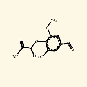 COc1cc(C=O)cc(Cl)c1OC(C)C(N)=O